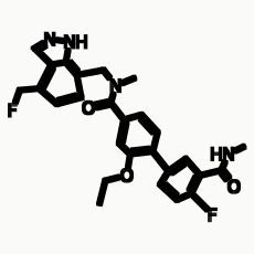 CCOc1cc(C(=O)N(C)Cc2ccc(CF)c3cn[nH]c23)ccc1-c1ccc(F)c(C(=O)NC)c1